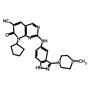 CN1CCN(c2n[nH]c3ccc(Nc4ncc5cc(C#N)c(=O)n(C6CCCC6)c5n4)cc23)CC1